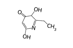 CCC1=NC(O)=CC(=O)C1O